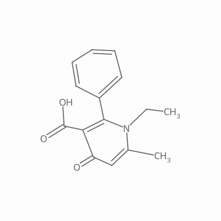 CCn1c(C)cc(=O)c(C(=O)O)c1-c1ccccc1